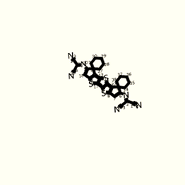 N#CC(C#N)=NC1=Cc2sc3c(sc4c5c(sc43)C=C(N=C(C#N)C#N)C53CCCCC3)c2C12CCCCC2